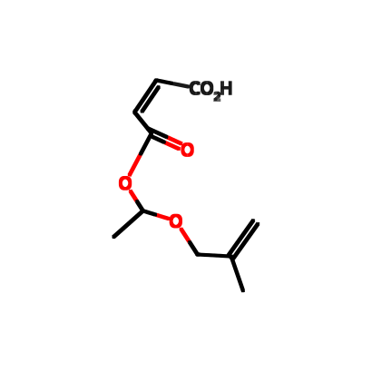 C=C(C)COC(C)OC(=O)/C=C\C(=O)O